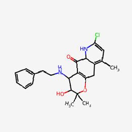 CC1=C2CC3=C(C(=O)C2NC(Cl)=C1)C(NCCc1ccccc1)C(O)C(C)(C)O3